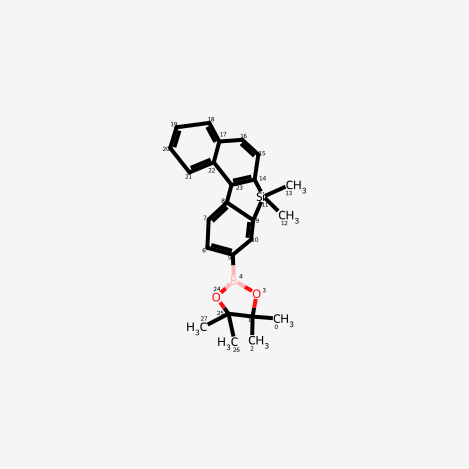 CC1(C)OB(c2ccc3c(c2)[Si](C)(C)c2ccc4ccccc4c2-3)OC1(C)C